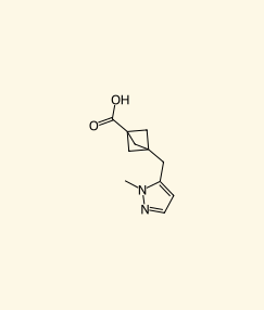 Cn1nccc1CC12CC(C(=O)O)(C1)C2